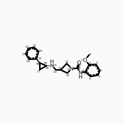 COc1ccccc1NC(=O)N1CC(CN[C@@H]2C[C@H]2c2ccccc2)C1